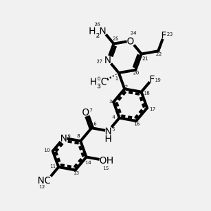 C[C@@]1(c2cc(NC(=O)c3ncc(C#N)cc3O)ccc2F)C=C(CF)OC(N)=N1